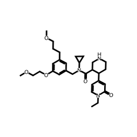 CCn1ccc(C2CCNCC2C(=O)N(Cc2cc(CCCOC)cc(OCCOC)c2)C2CC2)cc1=O